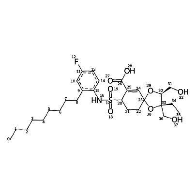 CCCCCCCCCc1cc(F)ccc1NS(=O)(=O)C1CCC2(C=C1C(=O)O)O[C@@H](CO)[C@](CC)(CO)O2